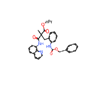 CCCOC(=O)C(C)(Cc1ccccc1NC(=O)OCc1ccccc1)C(=O)Nc1cccc2cccnc12